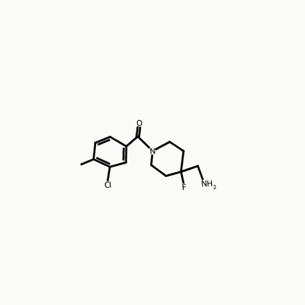 Cc1ccc(C(=O)N2CCC(F)(CN)CC2)cc1Cl